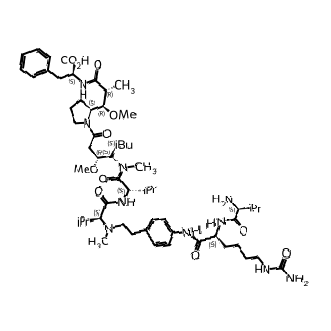 CC[C@H](C)[C@@H]([C@@H](CC(=O)N1CCC[C@H]1[C@H](OC)[C@@H](C)C(=O)N[C@@H](Cc1ccccc1)C(=O)O)OC)N(C)C(=O)[C@@H](NC(=O)[C@H](C(C)C)N(C)CCc1ccc(NC(=O)[C@H](CCCCNC(N)=O)NC(=O)[C@@H](N)C(C)C)cc1)C(C)C